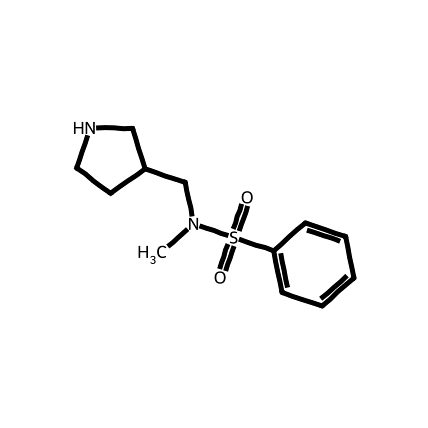 CN(CC1CCNC1)S(=O)(=O)c1ccccc1